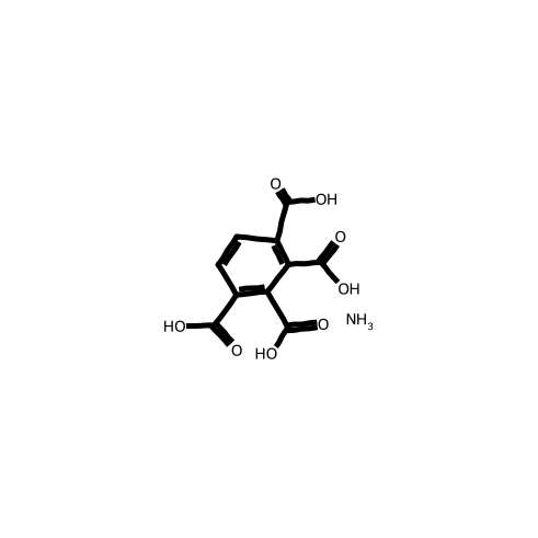 N.O=C(O)c1ccc(C(=O)O)c(C(=O)O)c1C(=O)O